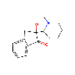 CN1CCCCC1C1(O)Cc2ccccc2C1=O